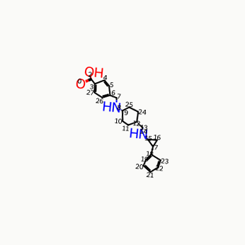 O=C(O)c1ccc(CN[C@H]2CC[C@H](CNC3CC3c3ccccc3)CC2)cc1